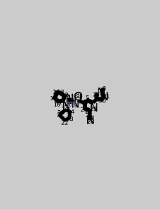 Cn1cc(-c2cc(C(=O)/N=c3\[nH]c4ccccc4n3C3CCCCC3)cc(C#N)n2)cn1